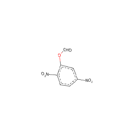 O=COc1cc([N+](=O)[O-])ccc1[N+](=O)[O-]